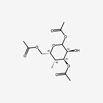 CC(=O)OC[C@@H]1OC(OC(C)=O)[C@@H](O)[C@@H](OC(C)=O)[C@@H]1C